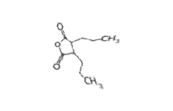 CCCC1C(=O)OC(=O)C1CCC